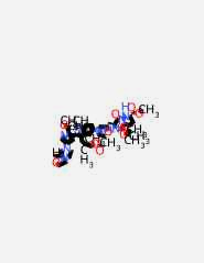 CCn1c(-c2cc(N3CCN4CCOC[C@@H]4C3)cnc2[C@H](C)OC)c(CC(C)(C)COC(C)=O)c2cc(N3CCO[C@@H](C[C@H](NC(=O)OC(C)(C)C)C(=O)N4CCC[C@@H](C(=O)OC)N4)C3)ccc21